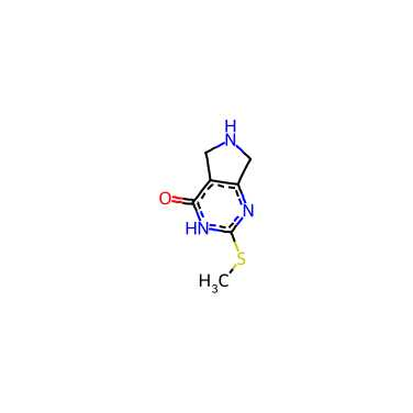 CSc1nc2c(c(=O)[nH]1)CNC2